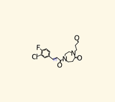 O=CCCN1CCN(C(=O)/C=C/c2ccc(F)c(Cl)c2)CCC1=O